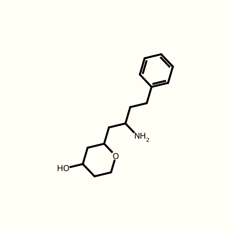 NC(CCc1ccccc1)CC1CC(O)CCO1